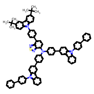 CC(C)(C)c1ccc2c(c1)c1cc(C(C)(C)C)ccc1n2-c1ccc(-c2ccc(N(c3ccc(-c4ccc5c(c4)c4ccccc4n5-c4ccc(-c5ccccc5)cc4)cc3)c3ccc(-c4ccc5c(c4)c4ccccc4n5-c4ccc(-c5ccccc5)cc4)cc3)c3nsnc23)cc1